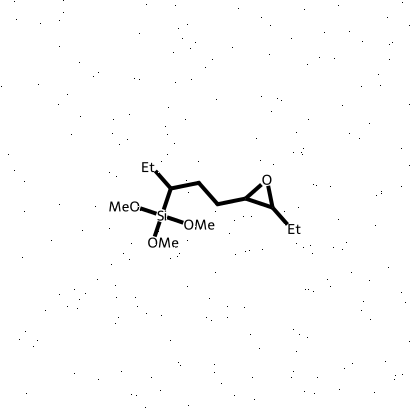 CCC1OC1CCC(CC)[Si](OC)(OC)OC